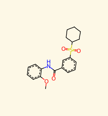 COc1ccccc1NC(=O)c1cccc(S(=O)(=O)C2CCCCC2)c1